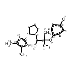 Cc1nc([C@@H]2CCCN2C(O)C(C)(C)Oc2ccc(Cl)cc2)sc1C